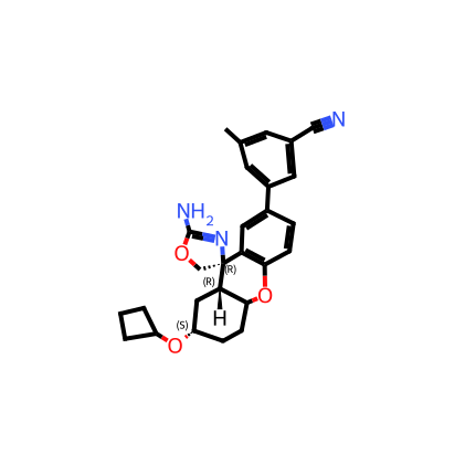 Cc1cc(C#N)cc(-c2ccc3c(c2)[C@@]2(COC(N)=N2)[C@H]2C[C@@H](OC4CCC4)CCC2O3)c1